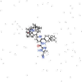 [2H]C([2H])([2H])C1(C([2H])([2H])[2H])CC(c2ccc(NC(=O)c3ncc(C#N)[nH]3)c(C3=CCC(C)(C)CC3)n2)CC(C([2H])([2H])[2H])(C([2H])([2H])[2H])N1